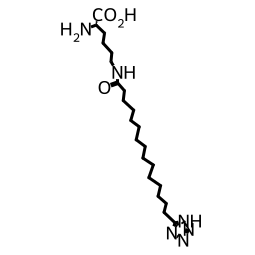 N[C@@H](CCCCNC(=O)CCCCCCCCCCCCCCc1nnn[nH]1)C(=O)O